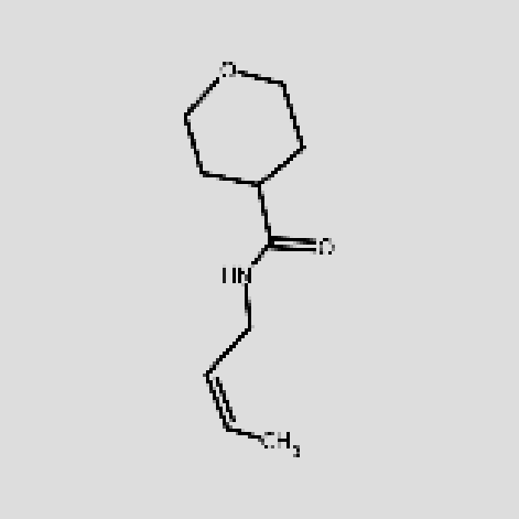 C/C=C\CNC(=O)C1CCOCC1